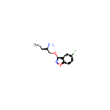 CSCC(N)COc1noc2ccc(Cl)cc12